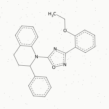 CCOc1ccccc1-c1noc(N2c3ccccc3CCC2c2ccccc2)n1